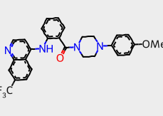 COc1ccc(N2CCN(C(=O)c3ccccc3Nc3ccnc4cc(C(F)(F)F)ccc34)CC2)cc1